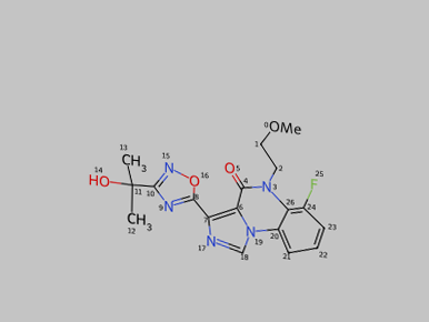 COCCn1c(=O)c2c(-c3nc(C(C)(C)O)no3)ncn2c2cccc(F)c21